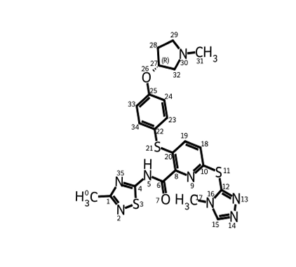 Cc1nsc(NC(=O)c2nc(Sc3nncn3C)ccc2Sc2ccc(O[C@@H]3CCN(C)C3)cc2)n1